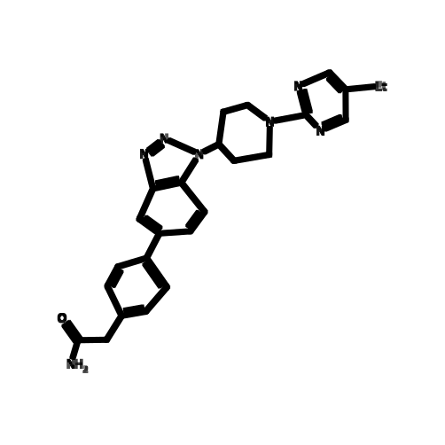 CCc1cnc(N2CCC(n3nnc4cc(-c5ccc(CC(N)=O)cc5)ccc43)CC2)nc1